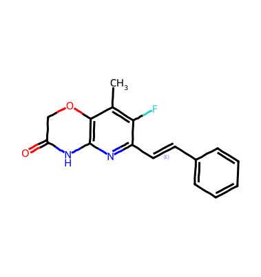 Cc1c(F)c(/C=C/c2ccccc2)nc2c1OCC(=O)N2